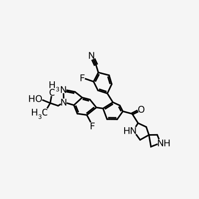 CC(C)(O)Cn1ncc2cc(-c3ccc(C(=O)C4CC5(CNC5)CN4)cc3-c3ccc(C#N)c(F)c3)c(F)cc21